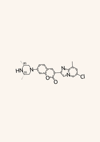 Cc1cc(Cl)cn2cc(-c3cc4ccc(N5C[C@@H](C)N[C@@H](C)C5)cc4oc3=O)nc12